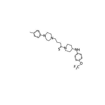 Cc1ccc(N2CCN(CCCC(=S)N3CCC(Nc4ccc(OC(F)(F)F)cc4)CC3)CC2)cc1